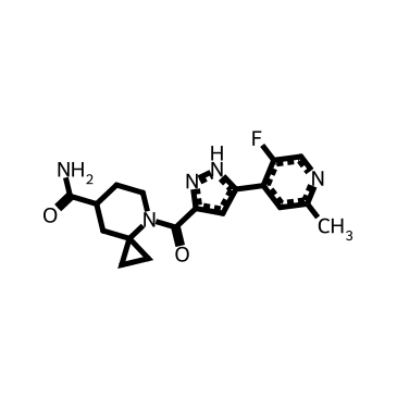 Cc1cc(-c2cc(C(=O)N3CCC(C(N)=O)CC34CC4)n[nH]2)c(F)cn1